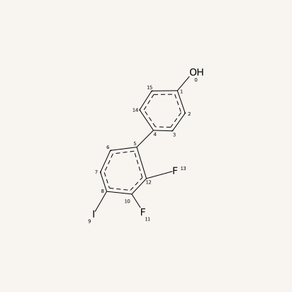 Oc1ccc(-c2ccc(I)c(F)c2F)cc1